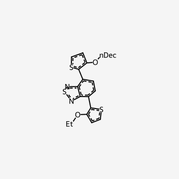 CCCCCCCCCCOc1ccsc1-c1ccc(-c2sccc2OCC)c2nsnc12